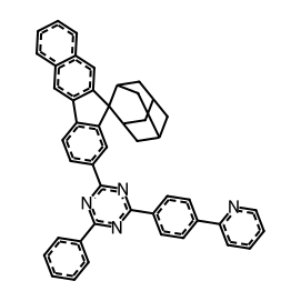 c1ccc(-c2nc(-c3ccc(-c4ccccn4)cc3)nc(-c3ccc4c(c3)C3(c5cc6ccccc6cc5-4)C4CC5CC(C4)CC3C5)n2)cc1